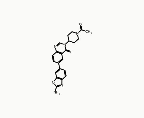 CC(=O)N1CCC(n2cnc3ccc(-c4ccc5nc(N)oc5c4)cc3c2=O)CC1